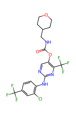 O=C(NCC1CCOCC1)Oc1cnc(Nc2ccc(C(F)(F)F)cc2Cl)nc1C(F)(F)F